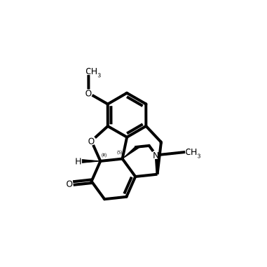 COc1ccc2c3c1O[C@H]1C(=O)CC=C4C(C2)N(C)CC[C@]431